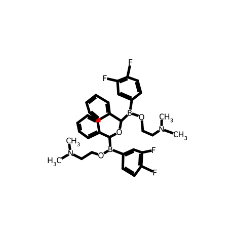 CN(C)CCOB(c1ccc(F)c(F)c1)C(OC(B(OCCN(C)C)c1ccc(F)c(F)c1)c1ccccc1)c1ccccc1